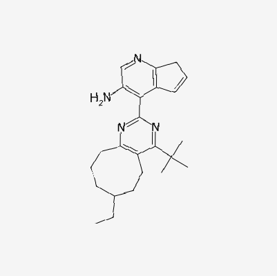 CCC1CCCc2nc(-c3c(N)cnc4c3C=CC4)nc(C(C)(C)C)c2CC1